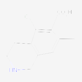 Cc1cc2c(c(Cl)c1C(=O)O)CCNC2